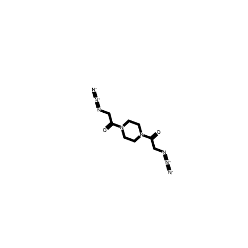 [N-]=[N+]=NCC(=O)N1CCN(C(=O)CN=[N+]=[N-])CC1